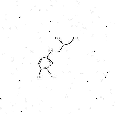 N#Cc1ccc(NC[C@@H](O)CO)cc1C(F)(F)F